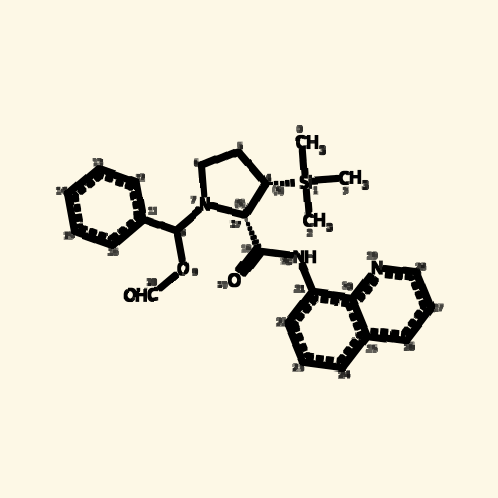 C[Si](C)(C)[C@H]1CCN(C(OC=O)c2ccccc2)[C@H]1C(=O)Nc1cccc2cccnc12